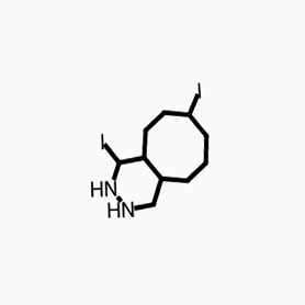 IC1CCCC2CNNC(I)C2CC1